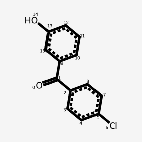 O=C(c1ccc(Cl)cc1)c1cccc(O)c1